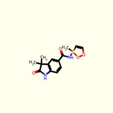 CC1(C)C(=O)Nc2ccc(C(=O)NS3(C)C=COO3)cc21